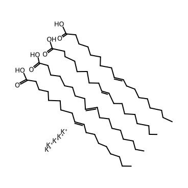 CCCCCCCCC=CCCCCCCCC(=O)O.CCCCCCCCC=CCCCCCCCC(=O)O.CCCCCCCCC=CCCCCCCCC(=O)O.CCCCCCCCC=CCCCCCCCC(=O)O.[K+].[K+].[K+].[K+].[K+]